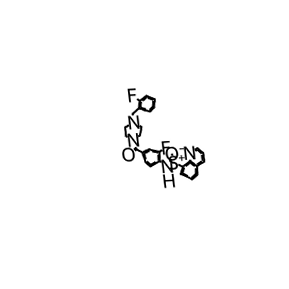 O=C(c1ccc(N[S+]([O-])c2cccc3cccnc23)c(F)c1)N1CCN(Cc2ccccc2F)CC1